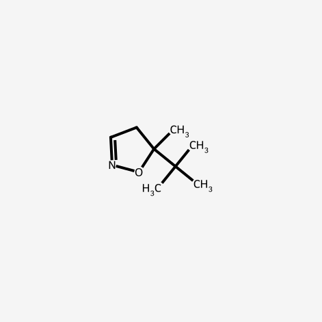 CC(C)(C)C1(C)CC=NO1